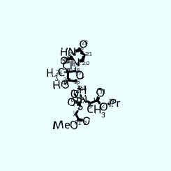 COC(=O)CS[P@@](=O)(N[C@@H](C)C(=O)OC(C)C)OC[C@H]1O[C@@H](n2ccc(=O)[nH]c2=O)[C@](C)(Cl)[C@@H]1O